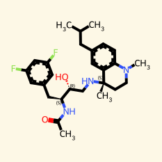 CC(=O)N[C@@H](Cc1cc(F)cc(F)c1)[C@H](O)CN[C@@]1(C)CCN(C)c2ccc(CC(C)C)cc21